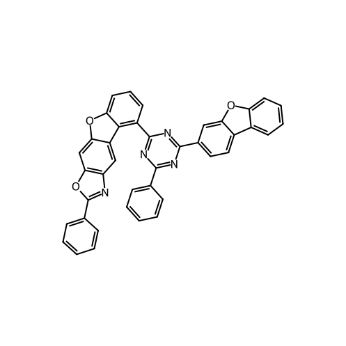 c1ccc(-c2nc(-c3ccc4c(c3)oc3ccccc34)nc(-c3cccc4oc5cc6oc(-c7ccccc7)nc6cc5c34)n2)cc1